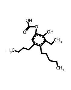 CCCCCc1c(CCCC)cc(OC(=O)O)c(O)c1CC